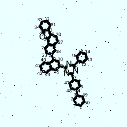 c1ccc(-c2ccc(-c3nc(-c4ccccc4)nc(-c4cc(-c5ccc6c(ccc7c8ccccc8oc67)c5)c5ccccc5c4)n3)cc2)cc1